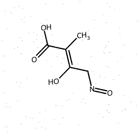 C/C(C(=O)O)=C(/O)CN=O